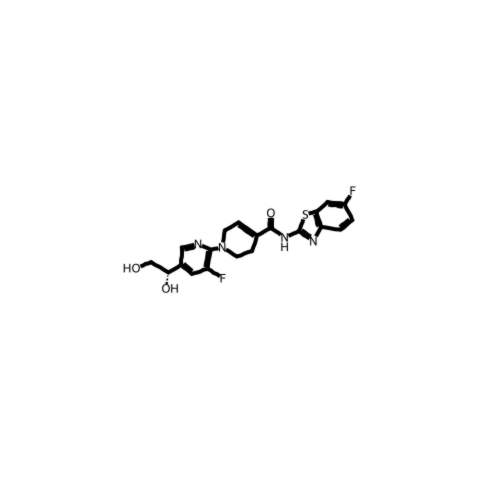 O=C(Nc1nc2ccc(F)cc2s1)C1=CCN(c2ncc([C@H](O)CO)cc2F)CC1